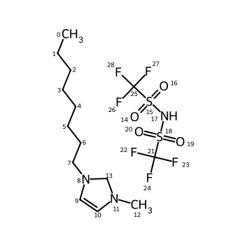 CCCCCCCCN1C=CN(C)C1.O=S(=O)(NS(=O)(=O)C(F)(F)F)C(F)(F)F